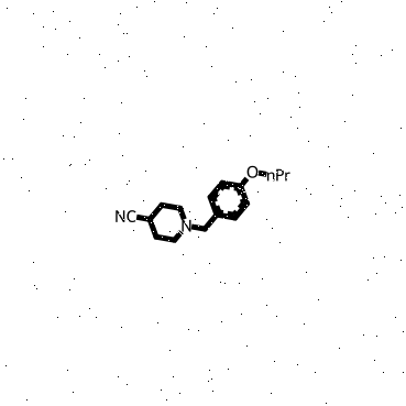 CCCOc1ccc(CN2CCC(C#N)CC2)cc1